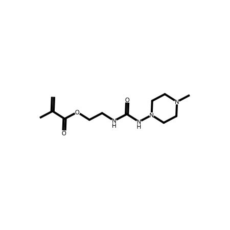 C=C(C)C(=O)OCCNC(=O)NN1CCN(C)CC1